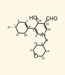 C[C@@H]1CC=C(C2=CN(CC3CCOCC3)C=C(C=O)C2O)CC1